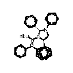 CCCCN(P(c1ccccc1)c1ccccc1)P1[C@H](c2ccccc2)N(c2ccccc2)C[C@H]1c1ccccc1